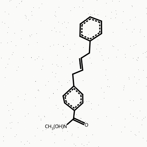 CN(O)C(=O)c1ccc(CC=CCc2ccccc2)cc1